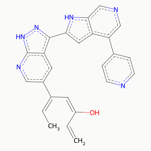 C=C/C(O)=C\C(=C/C)c1cnc2[nH]nc(-c3cc4c(-c5ccncc5)cncc4[nH]3)c2c1